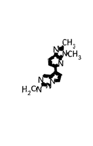 C=Nc1ncc2c(-c3ccc4nc(C)n(C)c4n3)ccn2n1